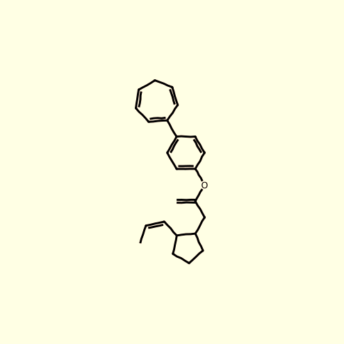 C=C(CC1CCCC1/C=C\C)Oc1ccc(C2=CC=CCC=C2)cc1